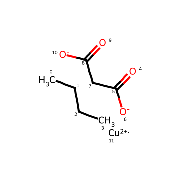 CCCC.O=C([O-])CC(=O)[O-].[Cu+2]